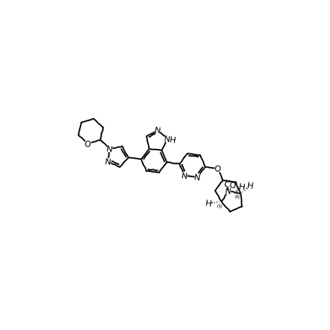 O=C(O)N1[C@@H]2CC[C@H]1CC(Oc1ccc(-c3ccc(-c4cnn(C5CCCCO5)c4)c4cn[nH]c34)nn1)C2